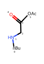 CCCCNCC(=O)OC(C)=O